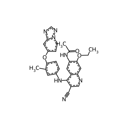 CCOc1cc2ncc(C#N)c(Nc3ccc(Oc4ccn5ncnc5c4)c(C)c3)c2cc1NC(C)=O